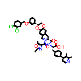 Cc1nc(C(=O)N2Cc3cc4c(cc3C[C@H]2C(=O)N[C@@H](Cc2ccc(-c3ccnc(C)c3C)cc2)C(=O)O)OC[C@H](c2cccc(OCc3ccc(Cl)c(Cl)c3)c2)O4)c(C)o1